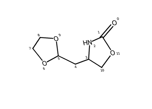 O=C1NC(CC2OCCO2)CO1